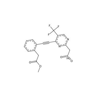 COC(=O)Cc1ccccc1C#Cc1nc(C[SH](=O)=O)ncc1C(F)(F)F